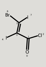 O=C(Cl)C(I)=C(Br)I